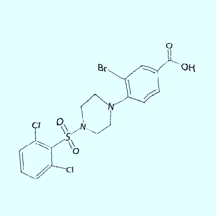 O=C(O)c1ccc(N2CCN(S(=O)(=O)c3c(Cl)cccc3Cl)CC2)c(Br)c1